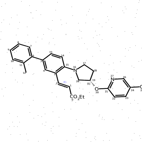 CCOC(=O)/C=C/c1cc(-c2ccccc2C)ccc1N1CC[C@H](Oc2ccc(C(F)(F)F)cn2)C1